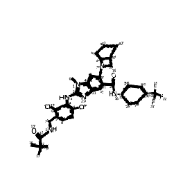 Cn1c(Nc2c(Cl)ccc(CNC(=O)C(C)(C)C)c2Cl)nc2cc(C(=O)N[C@H]3CC[C@H](C(F)(F)F)CC3)c(N3CC4CCCC43)cc21